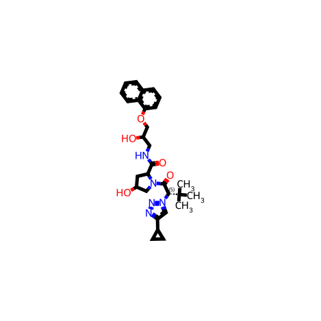 CC(C)(C)[C@@H](C(=O)N1CC(O)CC1C(=O)NCC(O)COc1cccc2ccccc12)n1cc(C2CC2)nn1